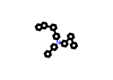 c1ccc(-c2ccc(N(c3ccc(-c4cccc(-c5ccc6ccccc6c5)c4)cc3)c3cccc(-c4ccccc4-c4ccccc4)c3)cc2)cc1